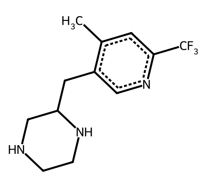 Cc1cc(C(F)(F)F)ncc1CC1CNCCN1